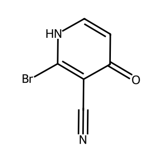 N#Cc1c(Br)[nH]ccc1=O